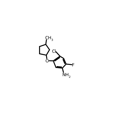 CC1CCC(Oc2cc(N)c(F)cc2Cl)C1